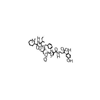 CCC(C)C(NC(=O)C1CCCCN1C)C(=O)N(Cc1ccccc1)[C@H](C[C@@H](OCOC)c1nc(C(=O)NCC[C@@H](C(=O)O)c2cc(O)ccc2C)cs1)C(C)C